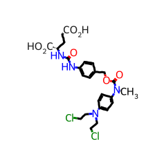 CN(C(=O)OCc1ccc(NC(=O)N[C@@H](CCC(=O)O)C(=O)O)cc1)c1ccc(N(CCCl)CCCl)cc1